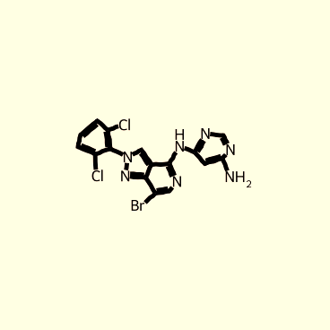 Nc1cc(Nc2ncc(Br)c3nn(-c4c(Cl)cccc4Cl)cc23)ncn1